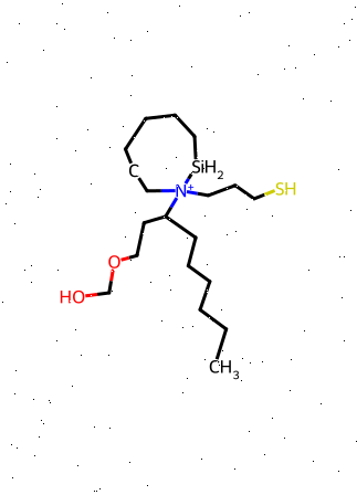 CCCCCCC(CCOCO)[N+]1(CCCS)CCCCCC[SiH2]1